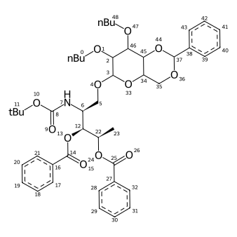 CCCCOC1C(OC[C@H](NC(=O)OC(C)(C)C)[C@H](OC(=O)c2ccccc2)[C@@H](C)OC(=O)c2ccccc2)OC2COC(c3ccccc3)OC2C1OCCCC